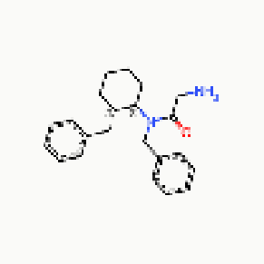 NCC(=O)N(Cc1ccccc1)[C@@H]1CCCC[C@H]1Cc1ccccc1